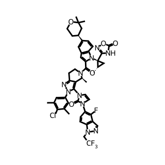 Cc1cc(-n2nc3c(c2-n2ccn(-c4ccc5c(cnn5CC(F)(F)F)c4F)c2=O)[C@H](C)N(C(=O)c2cc4cc([C@H]5CCOC(C)(C)C5)ccc4n2[C@@]2(c4noc(=O)[nH]4)C[C@@H]2C)CC3)cc(C)c1Cl